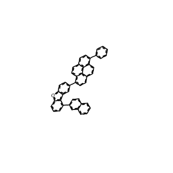 c1ccc(-c2ccc3ccc4c(-c5ccc6oc7cccc(-c8ccc9ccccc9c8)c7c6c5)ccc5ccc2c3c54)cc1